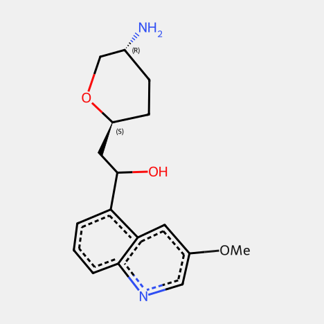 COc1cnc2cccc(C(O)C[C@@H]3CC[C@@H](N)CO3)c2c1